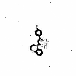 Cl.N[C@@H](CC(=O)N1CCCOc2ccccc21)c1ccc(F)cc1